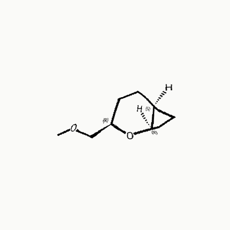 COC[C@H]1CC[C@H]2C[C@H]2O1